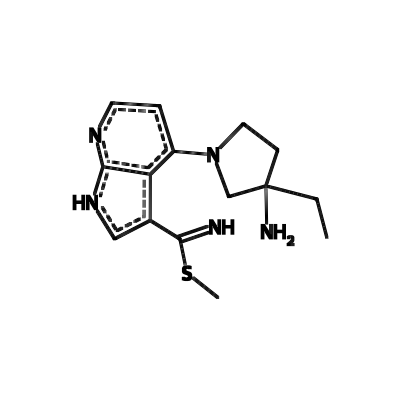 CCC1(N)CCN(c2ccnc3[nH]cc(C(=N)SC)c23)C1